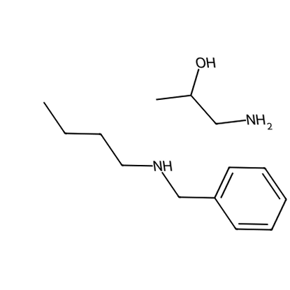 CC(O)CN.CCCCNCc1ccccc1